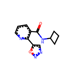 O=C(NC1CCC1)c1cccnc1-c1cnno1